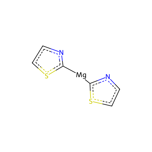 c1cs[c]([Mg][c]2nccs2)n1